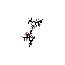 FC1CC(C(F)(F)F)CC(OCCCOC2(F)CC(C(F)(F)F)CC(C(F)(C(F)(F)F)C(F)(F)F)O2)(C(F)(C(F)(F)F)C(F)(F)F)O1